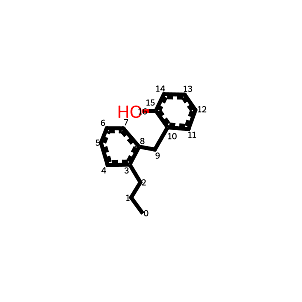 CCCc1ccccc1Cc1ccccc1O